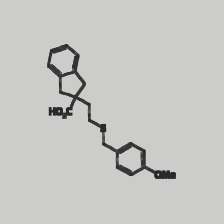 COc1ccc(CSCCC2(C(=O)O)Cc3ccccc3C2)cc1